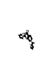 O=C(c1ccco1)N1CCc2c(nc(N3CCCC3)[nH]c2=O)C1